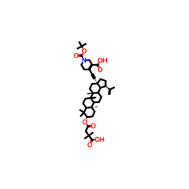 C=C(C)[C@@H]1CC[C@]2(C#CC3=C(C(=O)O)CN(C(=O)OC(C)(C)C)CC3)CC[C@]3(C)C(CCC4C3(C)CCC3C(C)(C)[C@@H](OC(=O)CC(C)(C)C(=O)O)CC[C@@]34C)C12